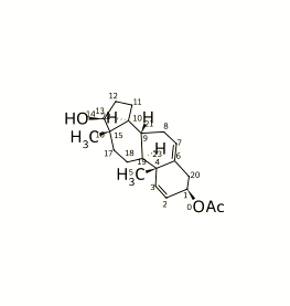 CC(=O)O[C@H]1C=C[C@@]2(C)C(=CC[C@H]3[C@@H]4CC[C@H](O)[C@@]4(C)CC[C@@H]32)C1